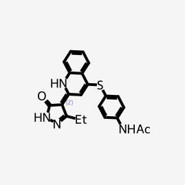 CCC1=NNC(=O)/C1=C1/C=C(Sc2ccc(NC(C)=O)cc2)c2ccccc2N1